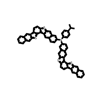 CC(C)c1ccc(N(c2ccc3cc4c(cc3c2)sc2ccc3c5cc6ccccc6cc5sc3c24)c2ccc3cc4c(cc3c2)sc2ccc3c5cc6ccccc6cc5sc3c24)cc1